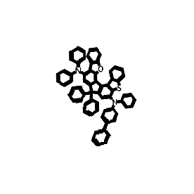 c1ccc(-c2ccc(N(c3ccccc3)c3cc4c(c5c3sc3ccccc35)-c3c(cc(N(c5ccccc5)c5ccccc5)c5c3oc3ccccc35)C4(c3ccccc3)c3ccccc3)cc2)cc1